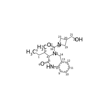 CCC(C)C1C(=O)Nc2ccccc2CN1C(=O)N1CC(CO)C1